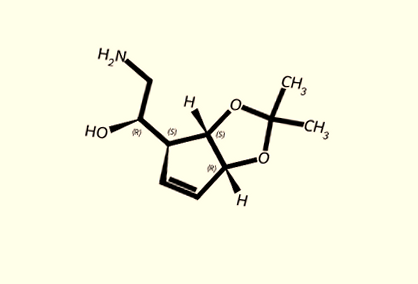 CC1(C)O[C@H]2[C@H]([C@@H](O)CN)C=C[C@H]2O1